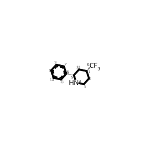 FC(F)(F)[C@@H]1CCN[C@H](c2ccccc2)C1